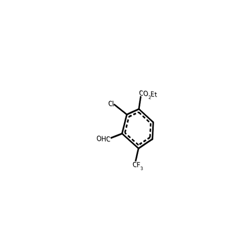 CCOC(=O)c1ccc(C(F)(F)F)c(C=O)c1Cl